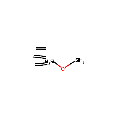 C=C.C=C.C=C.[SiH3]O[SiH3]